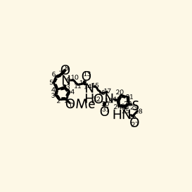 COc1ccc2ccc(=O)n(CCC(=O)NCC3CN(c4ccc5c(c4)NC(=O)CS5)C(=O)O3)c2c1